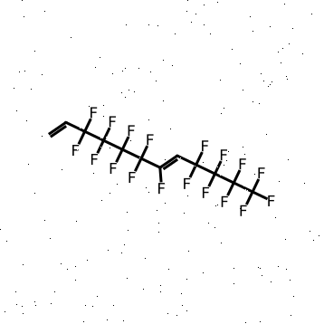 C=CC(F)(F)C(F)(F)C(F)(F)C(F)(F)C(F)=CC(F)(F)C(F)(F)C(F)(F)C(F)(F)F